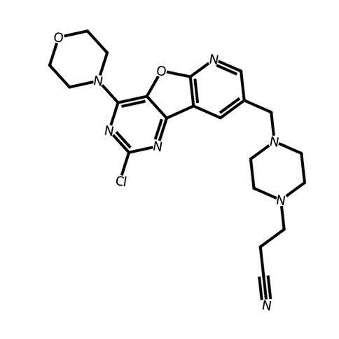 N#CCCN1CCN(Cc2cnc3oc4c(N5CCOCC5)nc(Cl)nc4c3c2)CC1